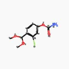 COC(OC)c1ccc(OC(N)=O)cc1F